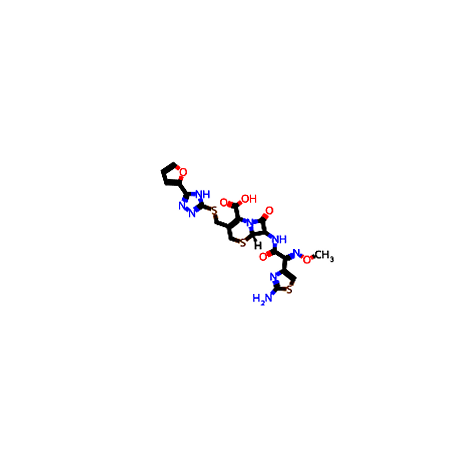 CON=C(C(=O)NC1C(=O)N2C(C(=O)O)=C(CSc3nnc(-c4ccco4)[nH]3)CS[C@@H]12)c1csc(N)n1